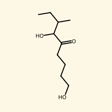 CCC(C)C(O)C(=O)CCCCO